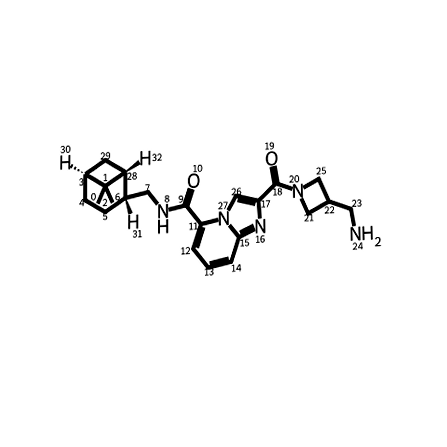 CC1(C)[C@H]2CC[C@@H](CNC(=O)c3cccc4nc(C(=O)N5CC(CN)C5)cn34)[C@H]1C2